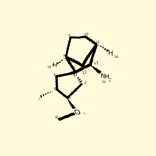 CO[C@@H]1C[C@]2(C[C@H]1C)[C@H]1CC[C@H](C1)[C@H]2N